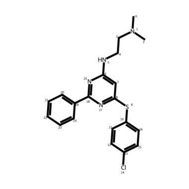 CN(C)CCNc1cc(Sc2ccc(Cl)cc2)nc(-c2ccccc2)n1